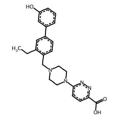 CCc1cc(-c2cccc(O)c2)ccc1CN1CCN(c2ccc(C(=O)O)nn2)CC1